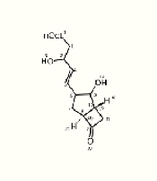 CCCCCCCCCC(O)C=CC1C[C@@H]2C(=O)C[C@H]2C1O